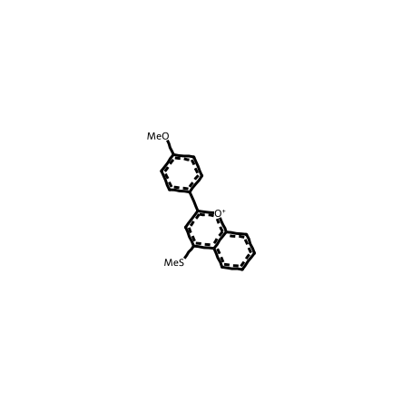 COc1ccc(-c2cc(SC)c3ccccc3[o+]2)cc1